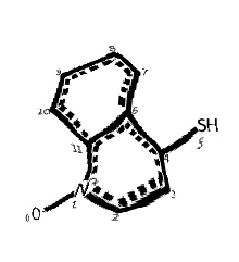 [O-][n+]1ccc(S)c2ccccc21